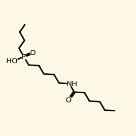 CCCCCC(=O)NCCCCCP(=O)(O)CCCC